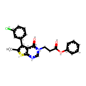 Cc1sc2ncn(CCC(=O)Oc3ccccc3)c(=O)c2c1-c1cccc(Cl)c1